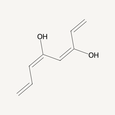 C=C/C=C(O)\C=C(\O)C=C